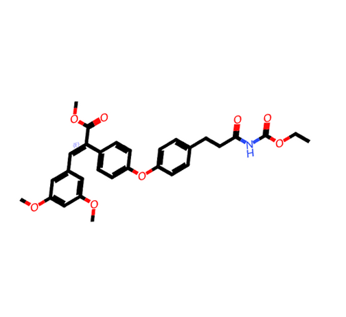 CCOC(=O)NC(=O)CCc1ccc(Oc2ccc(/C(=C\c3cc(OC)cc(OC)c3)C(=O)OC)cc2)cc1